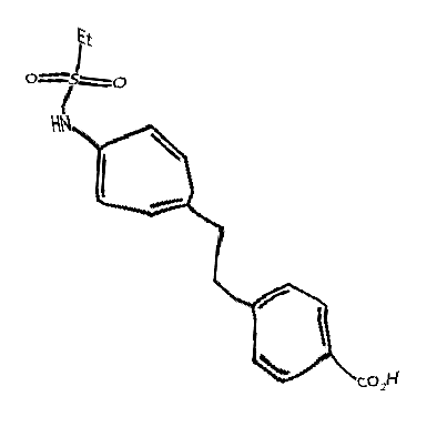 CCS(=O)(=O)Nc1ccc(CCc2ccc(C(=O)O)cc2)cc1